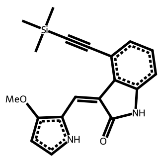 COc1cc[nH]c1/C=C1\C(=O)Nc2cccc(C#C[Si](C)(C)C)c21